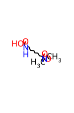 CON(C)C(=O)CCCCCCNC(=O)O